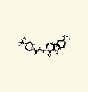 Cc1ccc2[nH]c3c(=O)n(CCC(=O)N4CCN(C(=O)C(C)C)CC4)cnc3c2c1